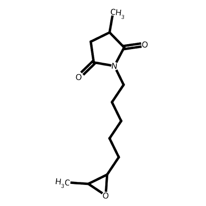 CC1CC(=O)N(CCCCCC2OC2C)C1=O